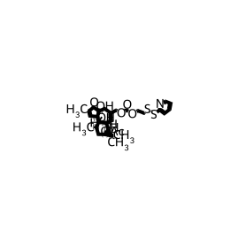 CC(=O)O[C@@]12C[C@@H](C)[C@@]3(O)[C@@H](C=C(COC(=O)OCCSSc4ccccn4)C[C@]4(O)C(=O)C(C)=C[C@@H]34)[C@H]1C2(C)C